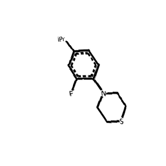 CC(C)c1ccc(N2CCSCC2)c(F)c1